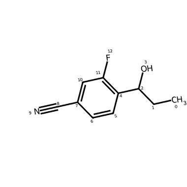 CCC(O)c1ccc(C#N)cc1F